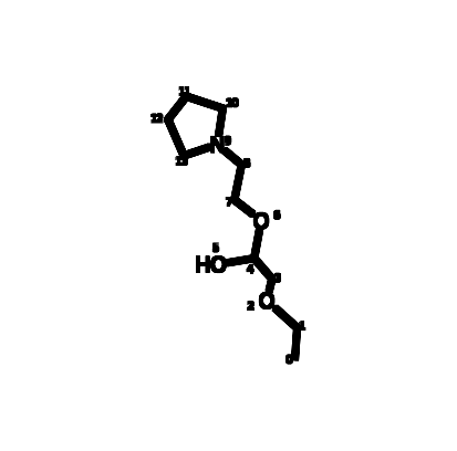 CCOCC(O)OCCN1CCCC1